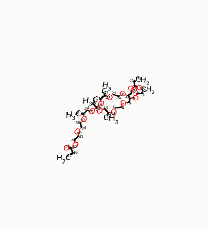 C=CC(=O)OCCOCCOC(C)COC(CC)(OCC(C)OCCOCCOC(=O)C=C)OCC(C)OCCOCCOC(=O)C=C